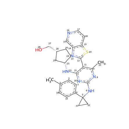 Cc1ccc(C2(Nc3nc(C)c(-c4nc5cnccc5s4)c(N[C@H]4CC[C@@H](CO)C4)n3)CC2)cc1